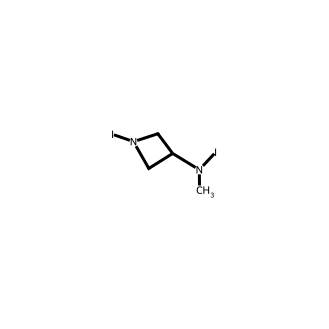 CN(I)C1CN(I)C1